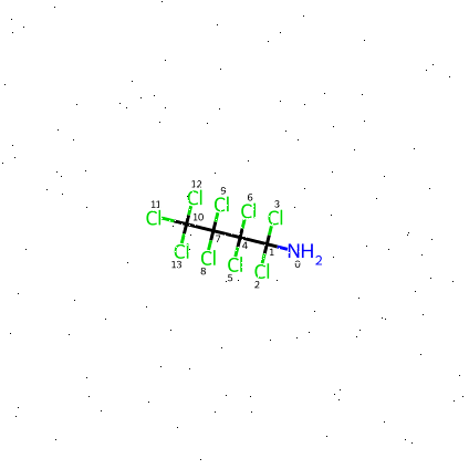 NC(Cl)(Cl)C(Cl)(Cl)C(Cl)(Cl)C(Cl)(Cl)Cl